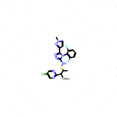 COC(c1ncc(Cl)cn1)C(C)SNc1nnc(-c2ccn(C)n2)n1-c1c(F)cccc1F